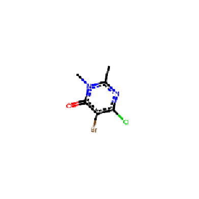 Cc1nc(Cl)c(Br)c(=O)n1C